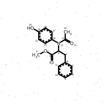 COC(=O)C(Cc1ccccc1)N(C(C)=O)c1ccc(O)cc1